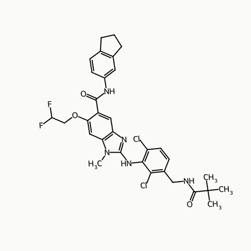 Cn1c(Nc2c(Cl)ccc(CNC(=O)C(C)(C)C)c2Cl)nc2cc(C(=O)Nc3ccc4c(c3)CCC4)c(OCC(F)F)cc21